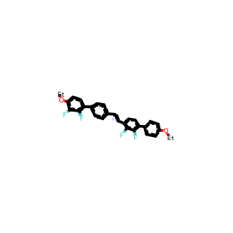 CCOc1ccc(-c2ccc(/C=C/c3ccc(-c4ccc(OCC)c(F)c4F)cc3)c(F)c2F)cc1